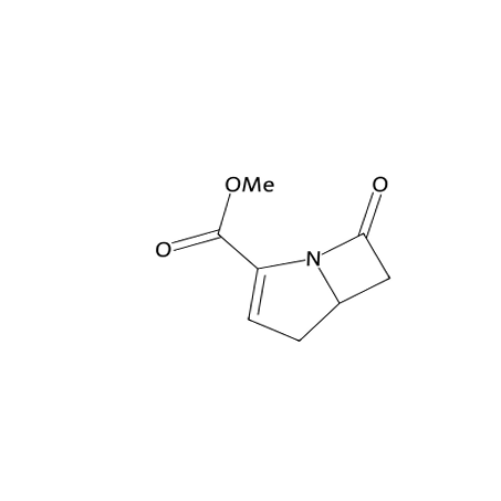 COC(=O)C1=CCC2CC(=O)N12